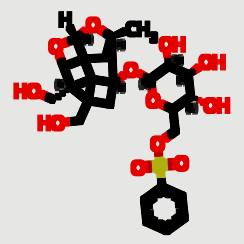 C[C@@]12CC34C(O[C@@H]3O1)[C@]1(CO)C3(CO)C[C@]2(O[C@@H]2OC(COS(=O)(=O)c5ccccc5)[C@@H](O)[C@H](O)[C@@H]2O)C431